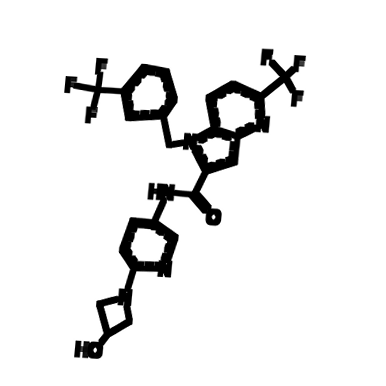 O=C(Nc1ccc(N2CC(O)C2)nc1)c1cc2nc(C(F)(F)F)ccc2n1Cc1cccc(C(F)(F)F)c1